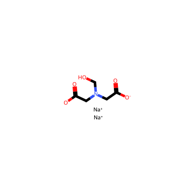 O=C([O-])CN(CO)CC(=O)[O-].[Na+].[Na+]